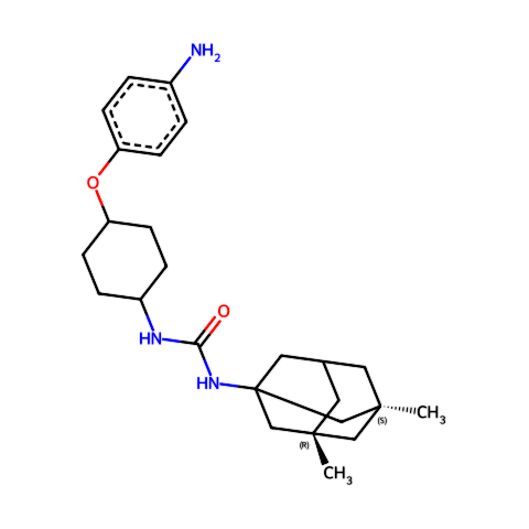 C[C@]12CC3CC(NC(=O)NC4CCC(Oc5ccc(N)cc5)CC4)(C1)C[C@@](C)(C3)C2